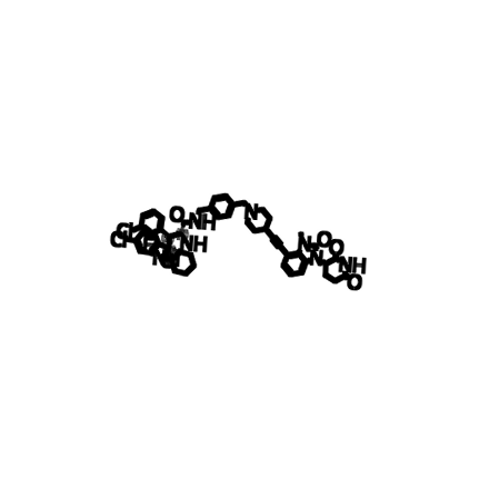 Cn1c(=O)n(C2CCC(=O)NC2=O)c2cccc(C#CC3CCN(Cc4ccc(CNC(=O)[C@@H]5NC6(CCCCC6)[C@@]6(C(=O)Nc7cc(Cl)ccc76)[C@H]5c5cccc(Cl)c5F)cc4)CC3)c21